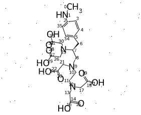 CNc1ccc(C[C@@H](CN(CCN(CC(=O)O)CC(=O)O)CC(=O)O)N(CC(=O)O)CC(=O)O)cc1